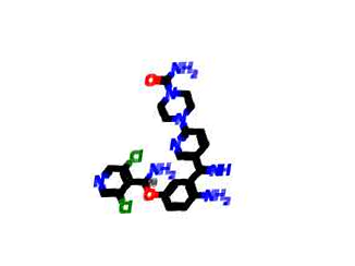 N=C(c1ccc(N2CCN(C(N)=O)CC2)nc1)c1cc(O[C@H](N)c2c(Cl)cncc2Cl)ccc1N